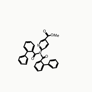 COC(=O)c1ccc(N(C(=O)c2ccccc2-c2ccccc2)C(=O)c2ccccc2-c2ccccc2)nc1